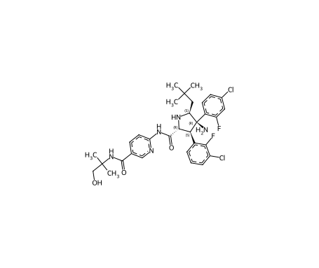 CC(C)(C)C[C@@H]1N[C@@H](C(=O)Nc2ccc(C(=O)NC(C)(C)CO)cn2)[C@H](c2cccc(Cl)c2F)[C@@]1(N)c1ccc(Cl)cc1F